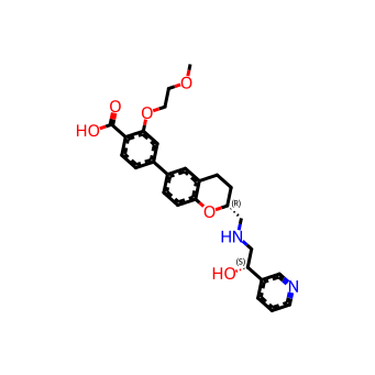 COCCOc1cc(-c2ccc3c(c2)CC[C@H](CNC[C@@H](O)c2cccnc2)O3)ccc1C(=O)O